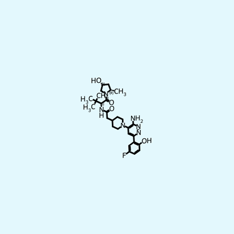 C[C@@H]1C[C@@H](O)CN1C(=O)[C@@H](NC(=O)CC1CCN(c2cc(-c3cc(F)ccc3O)nnc2N)CC1)C(C)(C)C